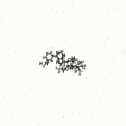 CC(C)(C)[Si](C)(C)O[C@@H]1[C@H]2O[Si](C(C)(C)C)(C(C)(C)C)OC[C@H]2O[C@H]1n1cnc2c(-c3cccc(N)c3)ncnc21